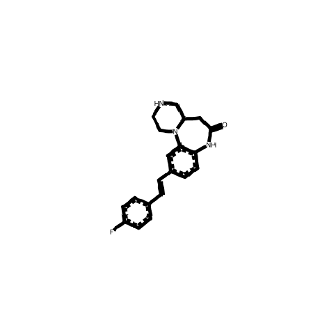 O=C1CC2CNCCN2c2cc(/C=C/c3ccc(F)cc3)ccc2N1